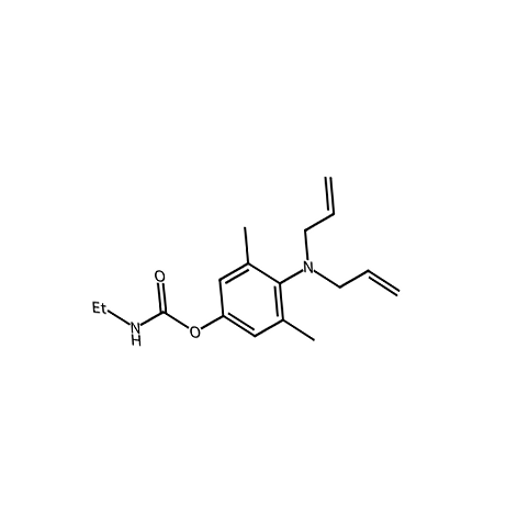 C=CCN(CC=C)c1c(C)cc(OC(=O)NCC)cc1C